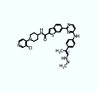 C=NN/C=C(\C)c1ccc(Nc2ccnc(-c3ccc4cc(C(=O)NC5CCN(c6ccncc6Cl)CC5)sc4c3)n2)cc1